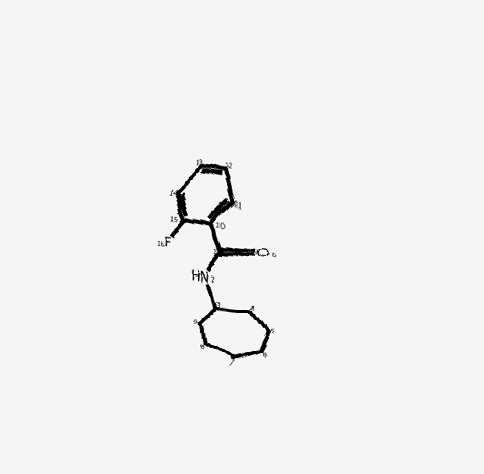 O=C(NC1CCCCCC1)c1ccccc1F